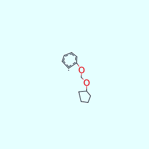 [c]1ccccc1OCOC1CCCC1